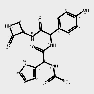 NC(=O)NC(C(=O)NC(C(=O)NC1CNC1=O)c1ccc(O)cc1)c1cccs1